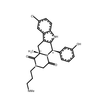 CNCCCN1CC(=O)N2[C@H](c3cccc(O)c3)c3[nH]c4ccc(Cl)cc4c3C[C@@]2(C)C1=O